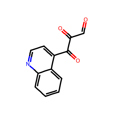 O=CC(=O)C(=O)c1ccnc2ccccc12